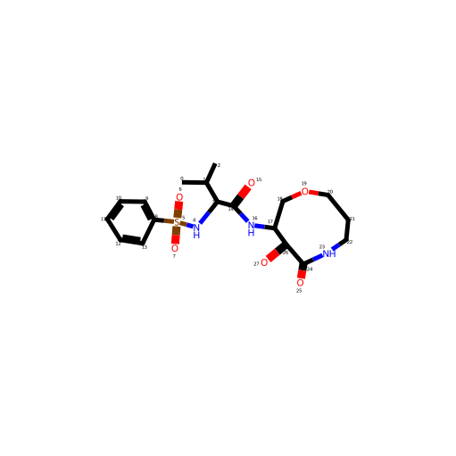 CC(C)C(NS(=O)(=O)c1ccccc1)C(=O)NC1COCCCNC(=O)C1=O